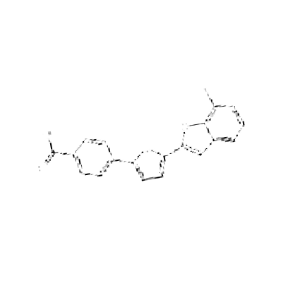 Cc1cccc2cc(-c3ccc(-c4ccc(C(=O)O)cc4)o3)oc12